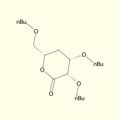 CCCCOC[C@@H]1C[C@H](OCCCC)[C@H](OCCCC)C(=O)O1